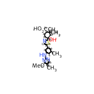 COc1nc(Nc2cc(C)cc(-c3cnc([C@@]4(O)CC[C@H](C(=O)O)C(C)(C)C4)s3)c2)ncc1C